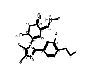 CCCc1ccc(-c2nc(C)c(C)n2C2=C/C(=C/NC)C(=N)CC2F)cc1F